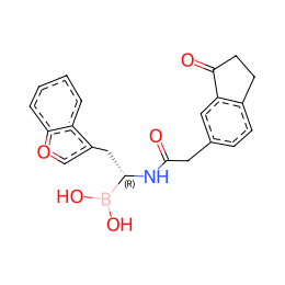 O=C(Cc1ccc2c(c1)C(=O)CC2)N[C@@H](Cc1coc2ccccc12)B(O)O